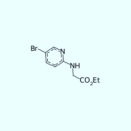 CCOC(=O)CNc1ccc(Br)cn1